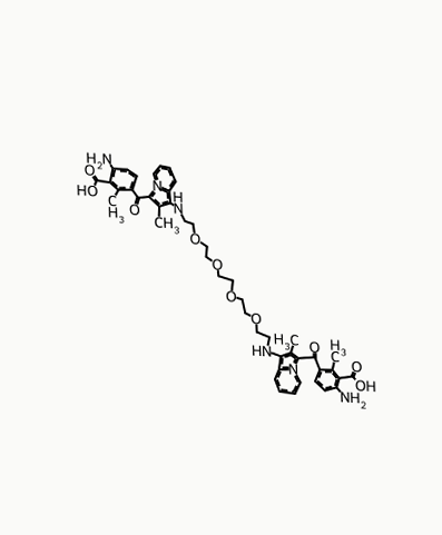 Cc1c(C(=O)c2c(C)c(NCCOCCOCCOCCOCCNc3c(C)c(C(=O)c4ccc(N)c(C(=O)O)c4C)n4ccccc34)c3ccccn23)ccc(N)c1C(=O)O